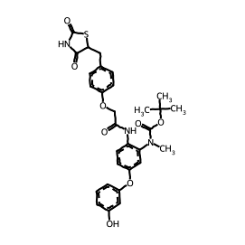 CN(C(=O)OC(C)(C)C)c1cc(Oc2cccc(O)c2)ccc1NC(=O)COc1ccc(CC2SC(=O)NC2=O)cc1